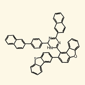 c1ccc2cc(C3=NC(c4ccc(-c5ccc6ccccc6c5)cc4)NC(c4c(-c5ccc6sc7ccccc7c6c5)ccc5oc6ccccc6c45)=N3)ccc2c1